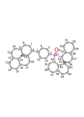 O=P(c1ccc(-c2ccc3ccc4cccc5ccc2c3c45)cc1)(c1cccc2ccccc12)c1cccc2ccccc12